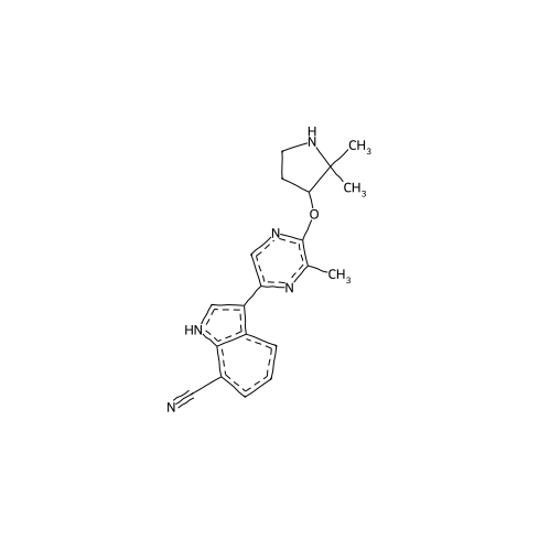 Cc1nc(-c2c[nH]c3c(C#N)cccc23)cnc1OC1CCNC1(C)C